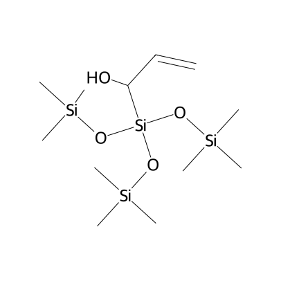 C=CC(O)[Si](O[Si](C)(C)C)(O[Si](C)(C)C)O[Si](C)(C)C